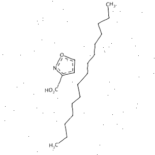 CCCCCCCCCCCCCCC.O=C(O)c1ccon1